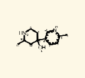 Cc1ccc(C2(O)CCNC(C)C2)cn1